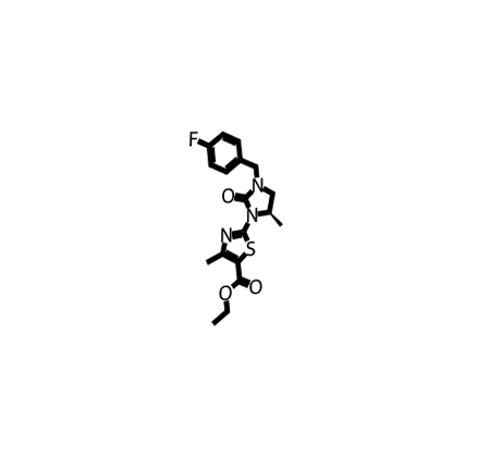 CCOC(=O)c1sc(N2C(=O)N(Cc3ccc(F)cc3)C[C@H]2C)nc1C